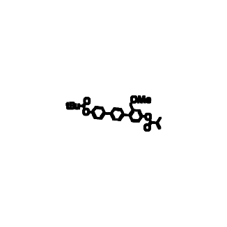 C=C(C)C(=O)Oc1ccc(-c2ccc(-c3ccc(OC(=O)C(C)(C)C)cc3)cc2)c(COC)c1